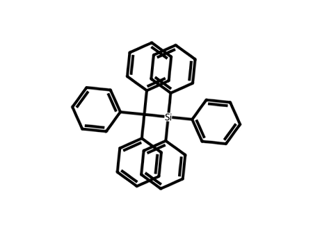 c1ccc(C(c2ccccc2)(c2ccccc2)[Si](c2ccccc2)(c2ccccc2)c2ccccc2)cc1